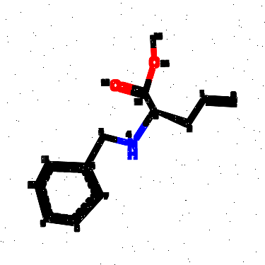 C=CC[C@@H](NCc1ccccc1)C(=O)OC